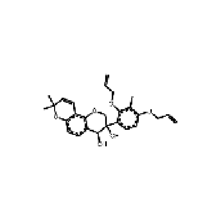 C=CCOc1ccc(C2(O)COc3c(ccc4c3C=CC(C)(C)O4)C2O)c(OCC=C)c1C